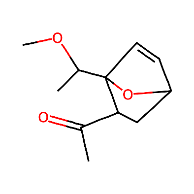 COC(C)C12C=CC(CC1C(C)=O)O2